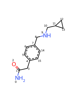 NC(=O)Cc1ccc(CNCC2CC2)cc1